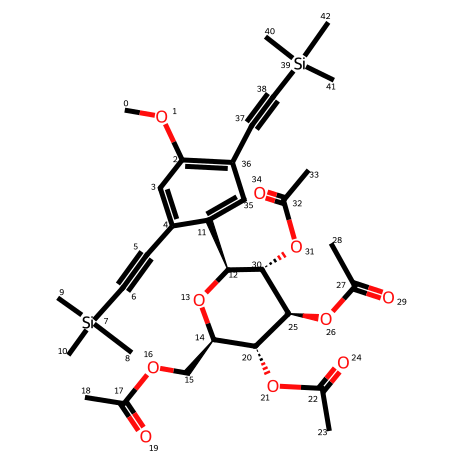 COc1cc(C#C[Si](C)(C)C)c([C@@H]2O[C@H](COC(C)=O)[C@@H](OC(C)=O)[C@H](OC(C)=O)[C@H]2OC(C)=O)cc1C#C[Si](C)(C)C